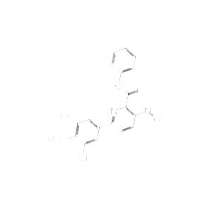 Cc1c(Cl)cc(-c2ccc(N=O)c(C(=O)Oc3ccccc3)n2)cc1Cl